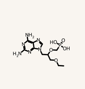 CCOCC(Cn1cnc2c(N)nc(N)nc21)OCP(=O)(O)O